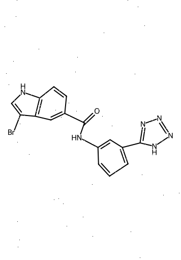 O=C(Nc1cccc(-c2nnn[nH]2)c1)c1ccc2[nH]cc(Br)c2c1